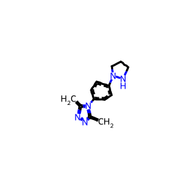 C=c1nnc(=C)n1-c1ccc(N2CCCN2)cc1